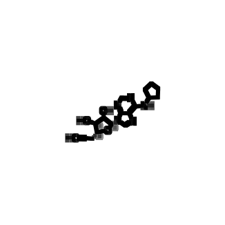 C#CC[C@H]1O[C@@H](n2cnc3c(NC4CCCC4)ncnc32)C(O)[C@@H]1O